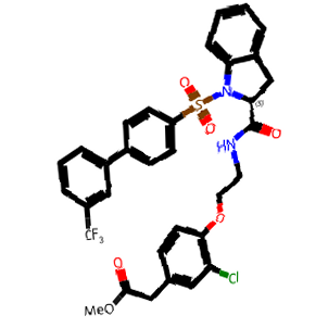 COC(=O)Cc1ccc(OCCNC(=O)[C@@H]2Cc3ccccc3N2S(=O)(=O)c2ccc(-c3cccc(C(F)(F)F)c3)cc2)c(Cl)c1